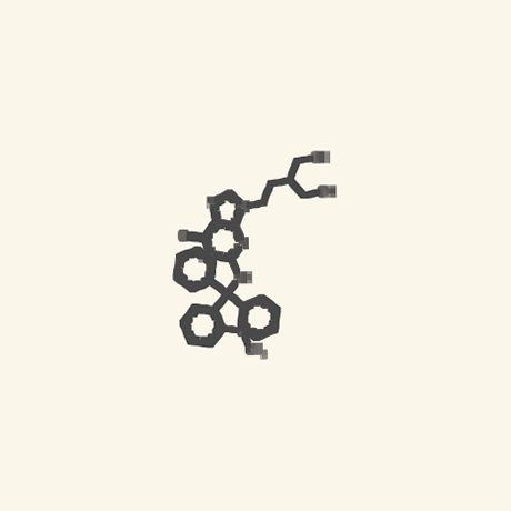 COc1ccccc1C(Nc1nc2c(ncn2CCC(CO)CO)c(=O)[nH]1)(c1ccccc1)c1ccccc1